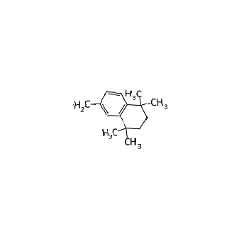 [CH2]c1ccc2c(c1)C(C)(C)CCC2(C)C